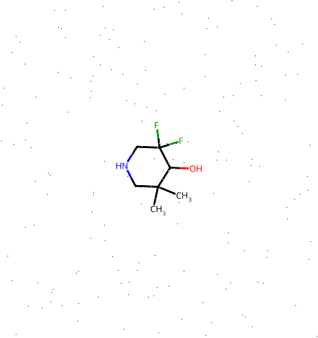 CC1(C)CNCC(F)(F)C1O